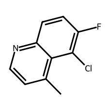 Cc1ccnc2ccc(F)c(Cl)c12